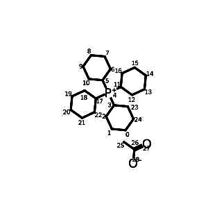 C1CCC([P+](C2CCCCC2)(C2CCCCC2)C2CCCCC2)CC1.CC(=O)[O-]